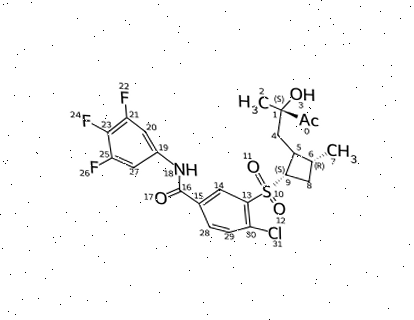 CC(=O)[C@@](C)(O)CC1[C@H](C)C[C@@H]1S(=O)(=O)c1cc(C(=O)Nc2cc(F)c(F)c(F)c2)ccc1Cl